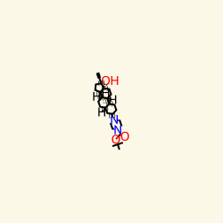 C#C[C@@]1(O)CC[C@H]2[C@@H]3CC[C@H]4C[C@@H](N5CCN(C(=O)OC(C)(C)C)CC5)CC[C@]4(C)[C@H]3CC[C@@]21C